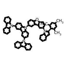 Cc1cc(C)c(-c2cc3ccccc3n2-c2ccc3oc4ccc(-n5c6ccc(-n7c8ccccc8c8ccccc87)cc6c6cc(-n7c8ccccc8c8ccccc87)ccc65)cc4c3c2)c(C)c1